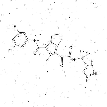 Cc1c(C(=O)C(=O)NC2(C3=CNNN3)CC2)c2n(c1C(=O)Nc1cc(F)cc(Cl)c1)CCC2